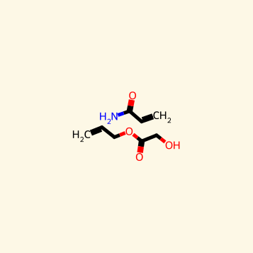 C=CC(N)=O.C=CCOC(=O)CO